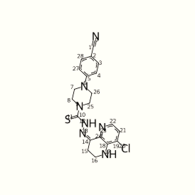 N#Cc1ccc(N2CCN(C(=S)N/N=C3/CCNc4c(Cl)ccnc43)CC2)cc1